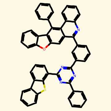 c1ccc(-c2nc(-c3cccc(-c4nc5ccccc5c5c(-c6ccccc6)c6c(cc45)oc4ccccc46)c3)nc(-c3cccc4c3sc3ccccc34)n2)cc1